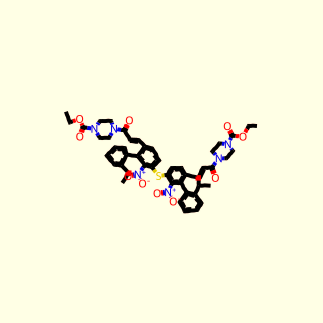 CCOC(=O)N1CCN(C(=O)/C=C/c2ccc(Sc3ccc(/C=C/C(=O)N4CCN(C(=O)OCC)CC4)c(-c4ccccc4C(C)C)c3[N+](=O)[O-])c([N+](=O)[O-])c2-c2ccccc2C(C)C)CC1